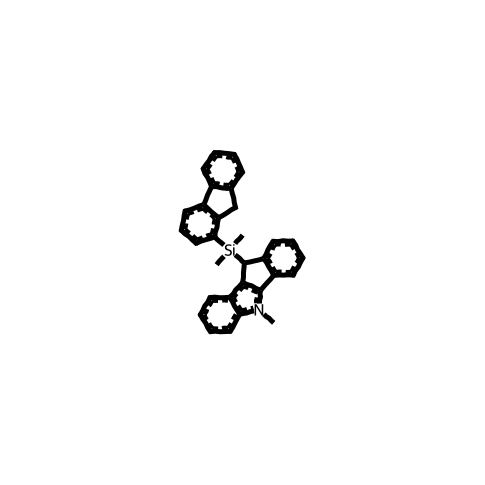 Cn1c2c(c3ccccc31)C([Si](C)(C)c1cccc3c1Cc1ccccc1-3)c1ccccc1-2